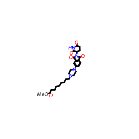 COC(=O)CCCCCCCCN1CCN(c2ccc3c(c2)C(=O)N(C2CCC(=O)NC2=O)C3=O)CC1